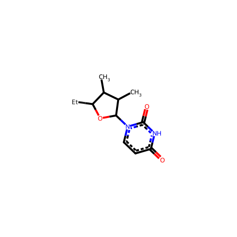 CCC1OC(n2ccc(=O)[nH]c2=O)C(C)C1C